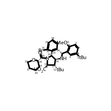 COc1ccc(C(C)(C)C)cc1CN[C@H]1[C@H](C(C)(C)C)[C@@H](C(=O)O)N(C(=O)[C@@H]2CCCCO2)[C@H]1c1ccccc1Br